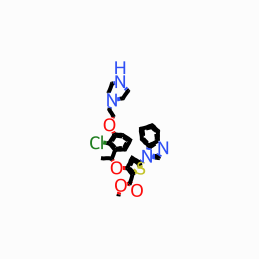 COC(=O)c1sc(-n2cnc3ccccc32)cc1OC(C)c1cccc(OCCN2CCNCC2)c1Cl